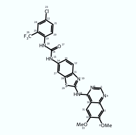 COc1cc2ncnc(Nc3nc4ccc(NC(=O)Nc5ccc(Cl)cc5C(F)(F)F)cc4s3)c2cc1OC